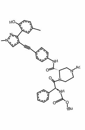 CC(=O)N1CCN(C(=O)[C@@H](NC(=O)OC(C)(C)C)c2ccccc2)[C@H](C(=O)Nc2ccc(C#Cc3cn(C)nc3-c3cc(C)ccc3O)cc2)C1